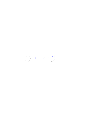 COc1ccc(/C=C/S(=O)(=O)N2CCc3ccccc3C2)cn1